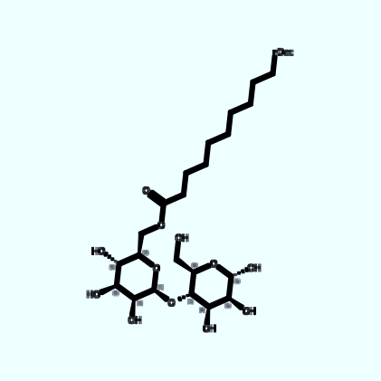 CCCCCCCCCCCCCCCCCCCC(=O)OC[C@H]1O[C@@H](O[C@H]2[C@H](O)[C@H](O)[C@@H](O)O[C@@H]2CO)[C@@H](O)[C@@H](O)[C@@H]1O